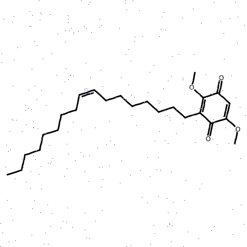 CCCCCCCC/C=C\CCCCCCCC1=C(OC)C(=O)C=C(OC)C1=O